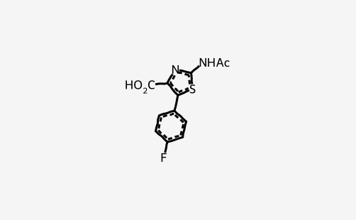 CC(=O)Nc1nc(C(=O)O)c(-c2ccc(F)cc2)s1